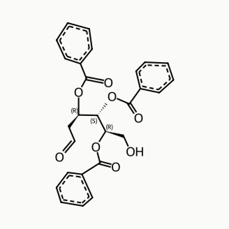 O=CC[C@@H](OC(=O)c1ccccc1)[C@H](OC(=O)c1ccccc1)[C@@H](CO)OC(=O)c1ccccc1